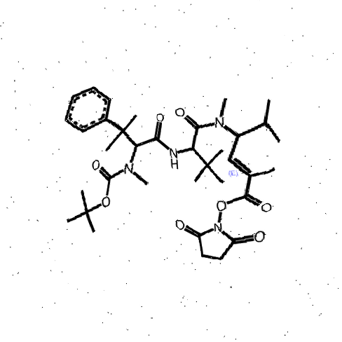 C/C(=C\C(C(C)C)N(C)C(=O)C(NC(=O)C(N(C)C(=O)OC(C)(C)C)C(C)(C)c1ccccc1)C(C)(C)C)C(=O)ON1C(=O)CCC1=O